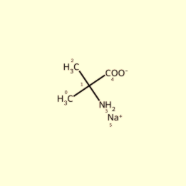 CC(C)(N)C(=O)[O-].[Na+]